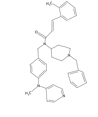 Cc1ccccc1C=CC(=O)N(Cc1ccc(N(C)c2ccncc2)cc1)C1CCN(Cc2ccccc2)CC1